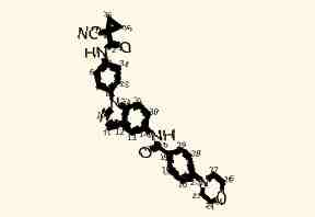 N#CC1(C(=O)Nc2ccc(-n3ncc4cc(NC(=O)c5ccc(N6CCOCC6)cc5)ccc43)cc2)CC1